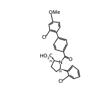 COc1ccc(-c2ccc(C(=O)N3[C@@H](c4ccccc4Cl)CC[C@H]3C(=O)O)cc2)c(Cl)c1